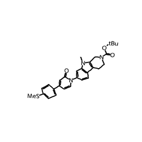 CSc1ccc(-c2ccn(-c3ccc4c5c(n(C)c4c3)CN(C(=O)OC(C)(C)C)CC5)c(=O)c2)cc1